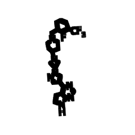 Fc1c(CN2CCC(N3CC(n4cc(-c5ncnc6[nH]ccc56)cn4)C3)CC2)cccc1C(F)(F)F